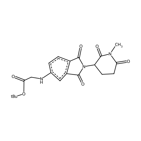 CN1C(=O)CCC(N2C(=O)c3ccc(NCC(=O)OC(C)(C)C)cc3C2=O)C1=O